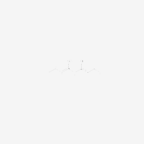 CC/C=C(\N)O/C(N)=C/CC